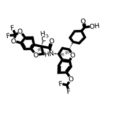 C[C@]1(C(=O)N[C@@H]2C[C@H](C3CCC(C(=O)O)CC3)Oc3cc(OC(F)F)ccc32)COc2cc3c(cc21)OC(F)(F)O3